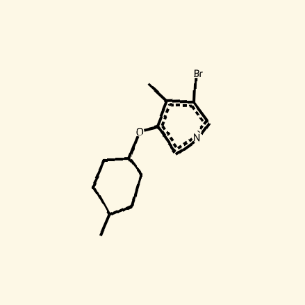 Cc1c(Br)cncc1OC1CCC(C)CC1